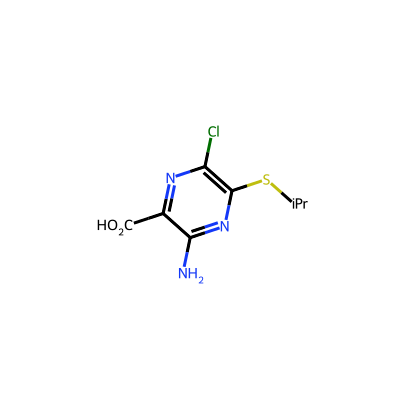 CC(C)Sc1nc(N)c(C(=O)O)nc1Cl